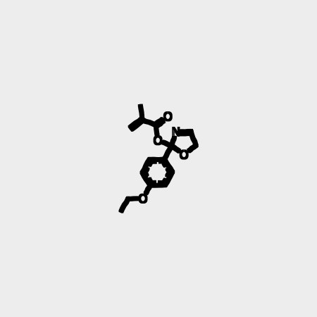 C=C(C)C(=O)OC1(c2ccc(OCC)cc2)N=CCO1